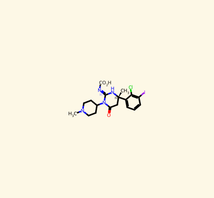 CN1CCC(N2C(=O)C[C@@](C)(c3cccc(I)c3Cl)N/C2=N\C(=O)O)CC1